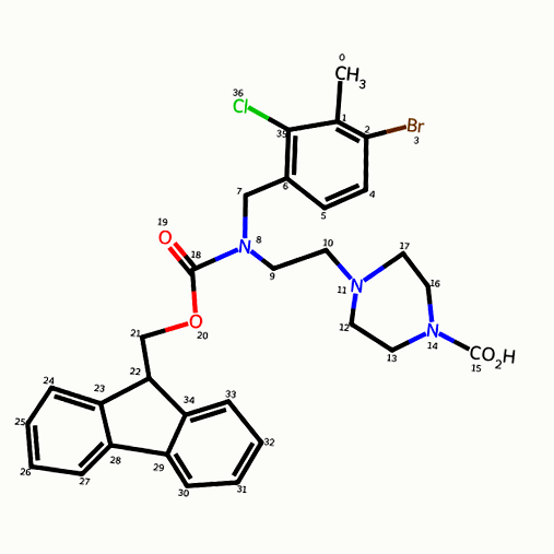 Cc1c(Br)ccc(CN(CCN2CCN(C(=O)O)CC2)C(=O)OCC2c3ccccc3-c3ccccc32)c1Cl